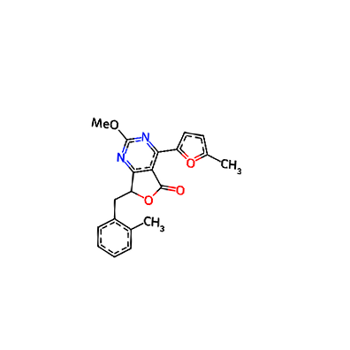 COc1nc(-c2ccc(C)o2)c2c(n1)C(Cc1ccccc1C)OC2=O